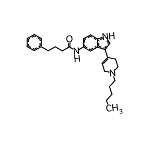 CCCCCN1CC=C(c2c[nH]c3ccc(NC(=O)CCCc4ccccc4)cc23)CC1